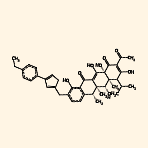 CCc1ccc(C2=CCC(Cc3ccc4c(c3O)C(=O)C3=C(O)[C@@]5(O)C(=O)C(C(C)=O)=C(O)C(C(C)C)[C@@]5(C)[C@H](O)[C@@]3(C)[C@@H]4C)=C2)cc1